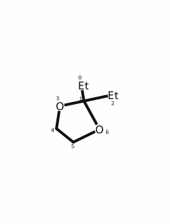 CCC1(CC)OCCO1